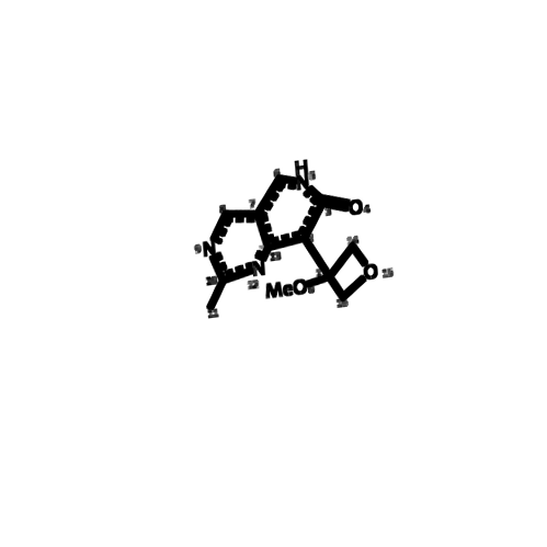 COC1(c2c(=O)[nH]cc3cnc(C)nc23)COC1